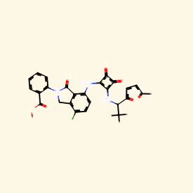 COC(=O)c1ccccc1N1Cc2c(Cl)ccc(Nc3c(NC(c4ccc(C)o4)C(C)(C)C)c(=O)c3=O)c2C1=O